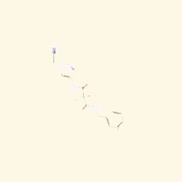 N#CCn1cc(N2CC[C@@](O)(C(=O)NCc3cc(F)cc(Cl)c3)C2=O)cn1